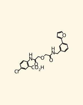 O=C(COCC(=O)Nc1ccc(Cl)cc1C(=O)O)NCc1cccc(-c2ccco2)c1